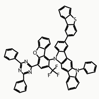 FC(F)(F)c1cc(-c2nc(-c3ccccc3)nc(-c3ccccc3)n2)c2oc3ccccc3c2c1-n1c2ccc(-c3ccc4sc5ccccc5c4c3)cc2c2cc3c(cc21)c1ccccc1n3-c1ccccc1